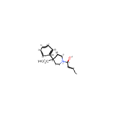 C/C=C/C(=O)N1CCC(C(=O)O)(c2ccccc2)CC1